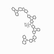 CC1(C)c2cc3c4ccc(-c5ccc6sc7ccc(-n8c9ccccc9c9ccccc98)cc7c6c5)cc4c4ccccc4c3cc2-c2cc3c4ccccc4c4cc(-c5ccc6sc7ccc(-n8c9ccccc9c9ccccc98)cc7c6c5)ccc4c3cc21